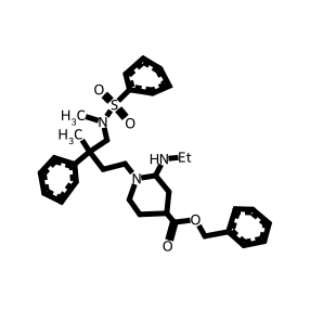 CCNC1CC(C(=O)OCc2ccccc2)CCN1CCC(C)(CN(C)S(=O)(=O)c1ccccc1)c1ccccc1